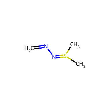 C=NN=S(C)C